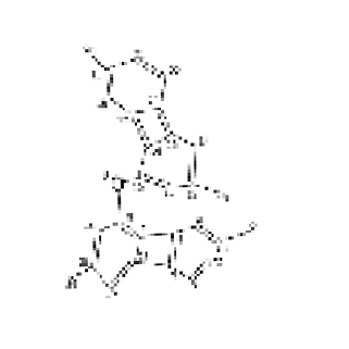 Cc1ccc2c(c1)-c1c(Oc3cc(C)cc4c3=c3cc(C)ccc3=4)cc(C)cc1-2